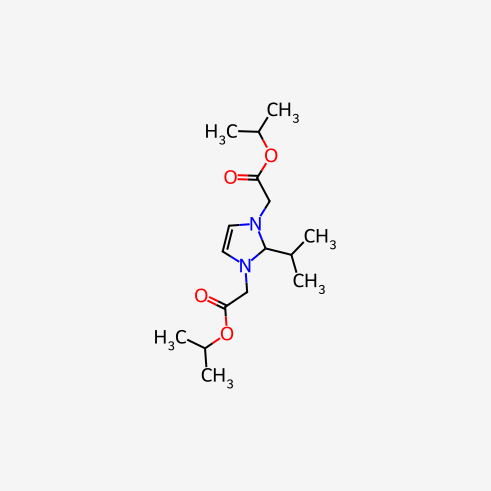 CC(C)OC(=O)CN1C=CN(CC(=O)OC(C)C)C1C(C)C